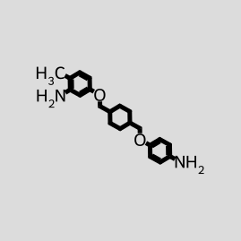 Cc1ccc(OCC2CCC(COc3ccc(N)cc3)CC2)cc1N